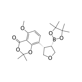 COc1ccc([C@H]2COC[C@H]2B2OC(C)(C)C(C)(C)O2)c2c1C(=O)OC(C)(C)O2